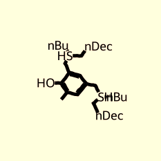 CCCCCCCCCCC[SH](CCCC)Cc1cc(C)c(O)c(C[SH](CCCC)CCCCCCCCCCC)c1